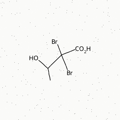 CC(O)C(Br)(Br)C(=O)O